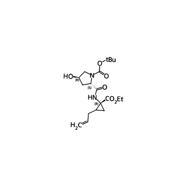 C=CCC1C[C@]1(NC(=O)[C@@H]1C[C@@H](O)CN1C(=O)OC(C)(C)C)C(=O)OCC